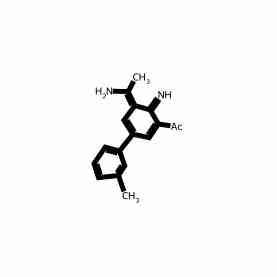 CC(=O)C1=CC(c2cccc(C)c2)=C/C(=C(/C)N)C1=N